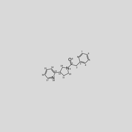 O=C(Cc1ccccc1)N1CCC(c2ccccn2)C1